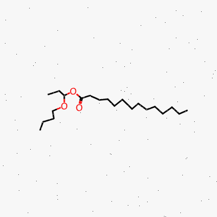 CCCCCCCCCCCCCC(=O)OC(CC)OCCCC